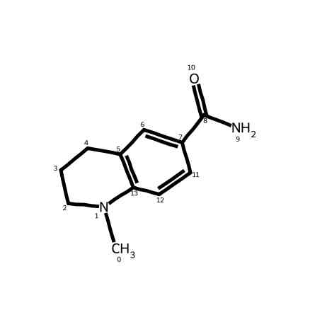 CN1CCCc2cc(C(N)=O)ccc21